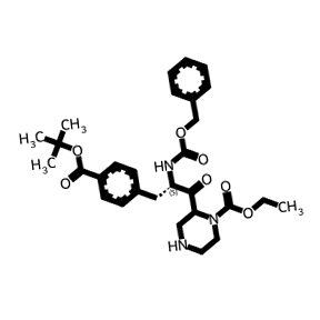 CCOC(=O)N1CCNCC1C(=O)[C@H](Cc1ccc(C(=O)OC(C)(C)C)cc1)NC(=O)OCc1ccccc1